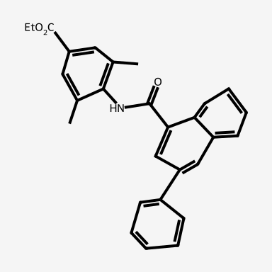 CCOC(=O)c1cc(C)c(NC(=O)c2cc(-c3ccccc3)cc3ccccc23)c(C)c1